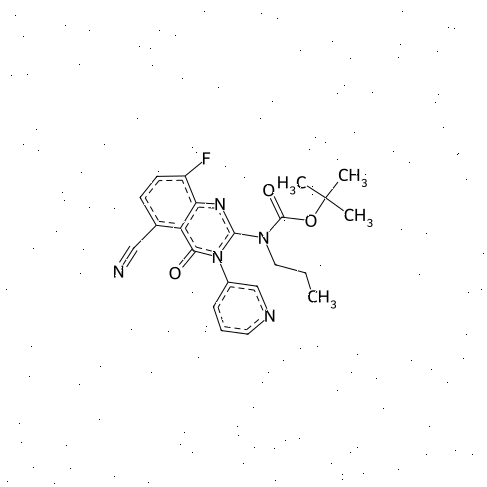 CCCN(C(=O)OC(C)(C)C)c1nc2c(F)ccc(C#N)c2c(=O)n1-c1cccnc1